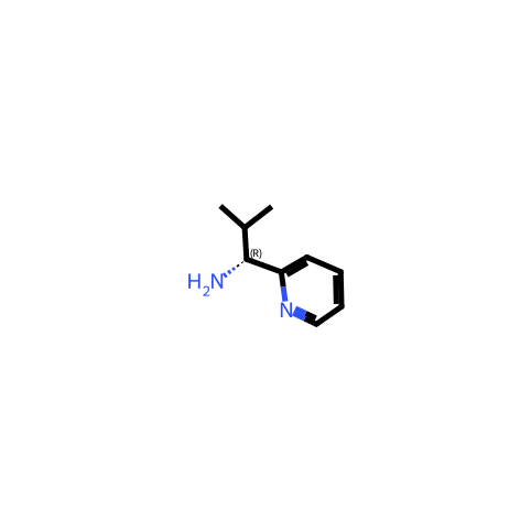 CC(C)[C@@H](N)c1ccccn1